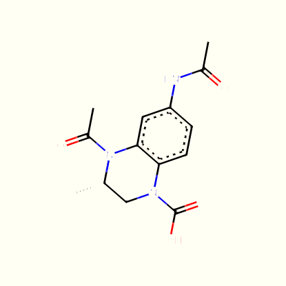 CC(=O)Nc1ccc2c(c1)N(C(C)=O)[C@@H](C)CN2C(=O)O